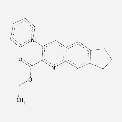 CCOC(=O)c1nc2cc3c(cc2cc1-[n+]1ccccc1)CCC3